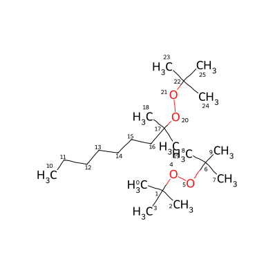 CC(C)(C)OOC(C)(C)C.CCCCCCCC(C)(C)OOC(C)(C)C